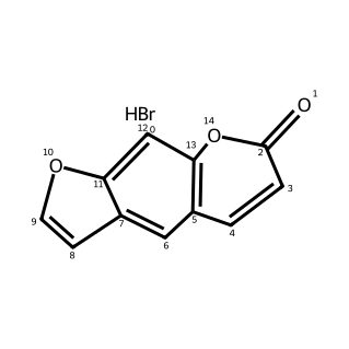 Br.O=c1ccc2cc3ccoc3cc2o1